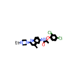 CCN1CCN(c2cc(C)c3cc(NC(=O)C(C)Oc4ccc(Cl)cc4Cl)ccc3n2)CC1